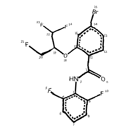 O=C(Nc1c(F)cccc1F)c1ccc(Br)cc1O[C@@H](CF)C(F)F